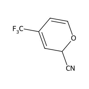 N#CC1C=C(C(F)(F)F)C=CO1